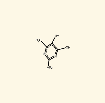 CCCCc1nc(C)c(C(C)C)c(O)n1